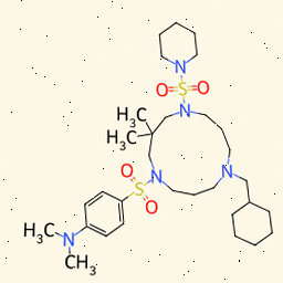 CN(C)c1ccc(S(=O)(=O)N2CCCN(CC3CCCCC3)CCCN(S(=O)(=O)N3CCCCC3)CC(C)(C)C2)cc1